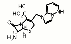 Cl.N[C@@H]1C(=O)N2C(C(=O)O)=C(CN3C=CN4NC=CC=C34)CS[C@@H]12